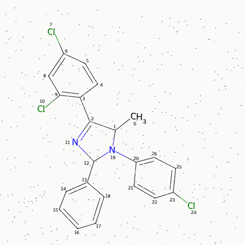 CC1C(c2ccc(Cl)cc2Cl)=NC(c2ccccc2)N1c1ccc(Cl)cc1